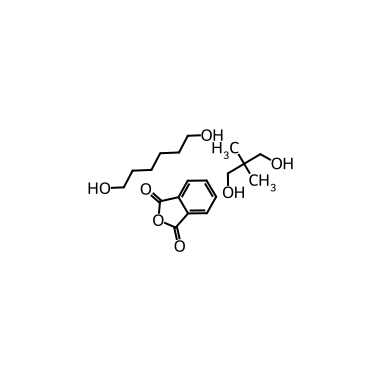 CC(C)(CO)CO.O=C1OC(=O)c2ccccc21.OCCCCCCO